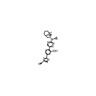 C[C@@]12CCCC(C[C@H](N(c3ncc(-c4ccc(-c5nnc(C#N)s5)cc4O)nn3)C3CC3)C1)N2